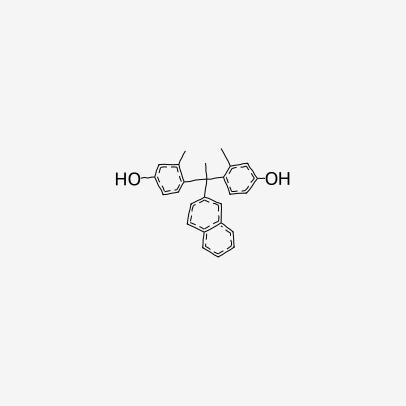 Cc1cc(O)ccc1C(C)(c1ccc2ccccc2c1)c1ccc(O)cc1C